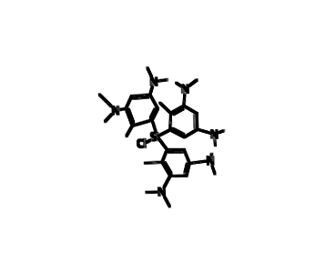 Cc1c(N(C)C)cc(N(C)C)cc1[Si](Cl)(c1cc(N(C)C)cc(N(C)C)c1C)c1cc(N(C)C)cc(N(C)C)c1C